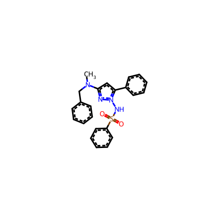 CN(Cc1ccccc1)c1cc(-c2ccccc2)n(NS(=O)(=O)c2ccccc2)n1